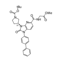 COC(=O)CNC(=O)c1ccc2c(n1)n([C@H]1CCN(C(=O)OC(C)(C)C)C1)c(=O)n2-c1ccc(-c2ccccc2)cc1